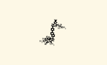 C/C=C(/c1ncc(-c2ccc3cc(-c4ccc(-c5cnc([C@@H]6CC7(CC7)CN6C(=O)CNC(=O)OC)[nH]5)cc4)ccc3c2)[nH]1)N(CCC#N)C(=O)[C@@H](NC(=O)OC)C(C)(C)C